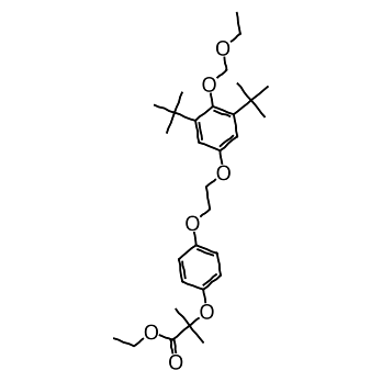 CCOCOc1c(C(C)(C)C)cc(OCCOc2ccc(OC(C)(C)C(=O)OCC)cc2)cc1C(C)(C)C